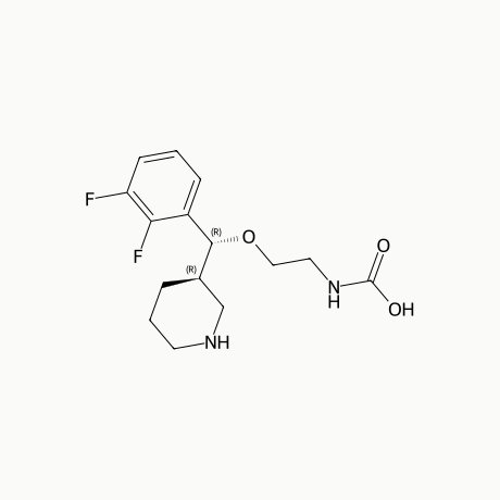 O=C(O)NCCO[C@@H](c1cccc(F)c1F)[C@@H]1CCCNC1